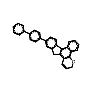 C1=Cc2c3c(c4ccccc4c2OC1)-c1ccc(-c2ccc(-c4ccccc4)cc2)cc1C3